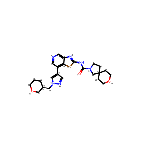 O=C(Nc1nc2cncc(-c3cnn(C[C@@H]4CCCOC4)c3)c2s1)N1CCC2(CCOCC2)C1